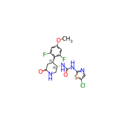 COc1cc(F)c([C@@H]2CC(=O)NC[C@H]2NC(=O)Nc2ncc(Cl)s2)c(F)c1